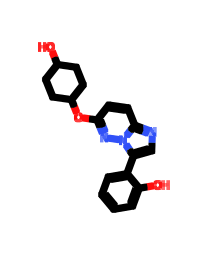 Oc1ccccc1-c1cnc2ccc(OC3CCC(O)CC3)nn12